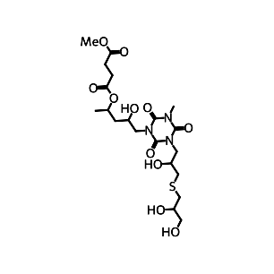 COC(=O)CCC(=O)OC(C)CC(O)Cn1c(=O)n(C)c(=O)n(CC(O)CSCC(O)CO)c1=O